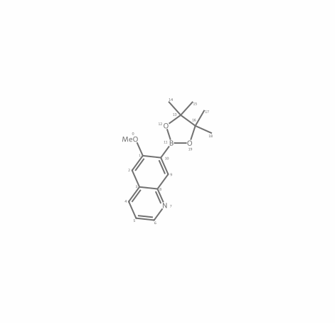 COc1cc2cccnc2cc1B1OC(C)(C)C(C)(C)O1